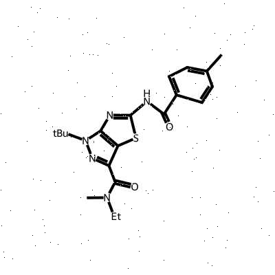 CCN(C)C(=O)c1nn(C(C)(C)C)c2nc(NC(=O)c3ccc(C)cc3)sc12